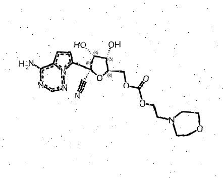 N#C[C@@]1(c2ccc3c(N)ncnn23)O[C@H](COC(=O)OCCN2CCOCC2)[C@@H](O)[C@H]1O